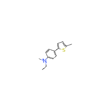 CCN(C)c1ccc(-c2ccc(C)s2)cc1